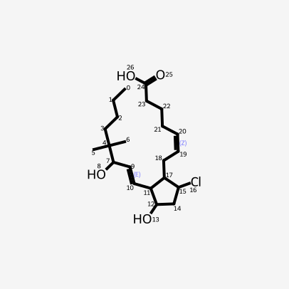 CCCCC(C)(C)C(O)/C=C/C1C(O)CC(Cl)C1C/C=C\CCCC(=O)O